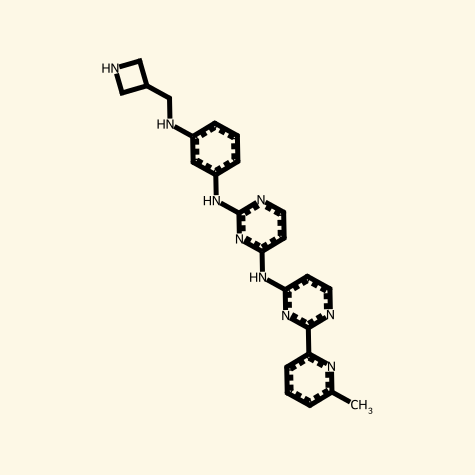 Cc1cccc(-c2nccc(Nc3ccnc(Nc4cccc(NCC5CNC5)c4)n3)n2)n1